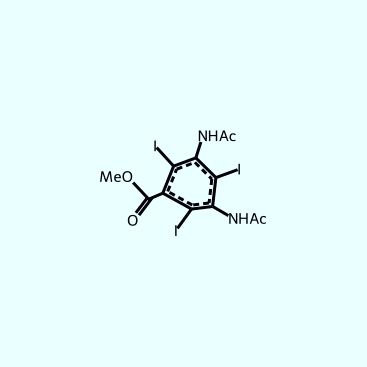 [CH2]OC(=O)c1c(I)c(NC(C)=O)c(I)c(NC(C)=O)c1I